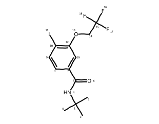 CC(C)(C)NC(=O)c1ccc(I)c(OCC(F)(F)F)c1